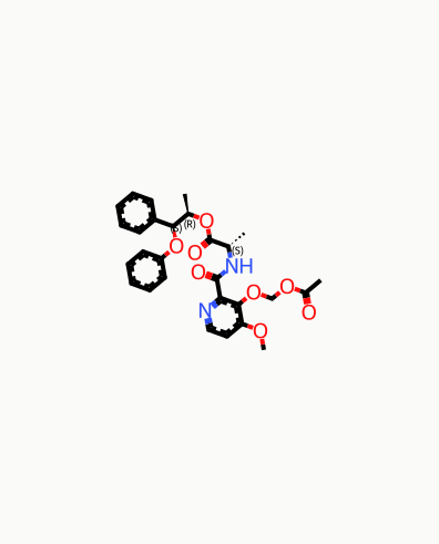 COc1ccnc(C(=O)N[C@@H](C)C(=O)O[C@H](C)[C@@H](Oc2ccccc2)c2ccccc2)c1OCOC(C)=O